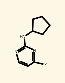 CC(C)c1ccnc(NC2CCCC2)n1